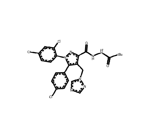 CC(C)(C)C(=O)NNC(=O)c1nn(-c2ccc(Cl)cc2Cl)c(-c2ccc(Cl)cc2)c1Cn1cncn1